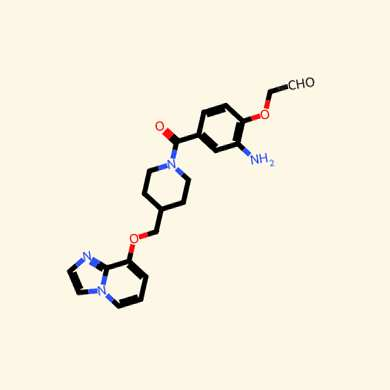 Nc1cc(C(=O)N2CCC(COc3cccn4ccnc34)CC2)ccc1OCC=O